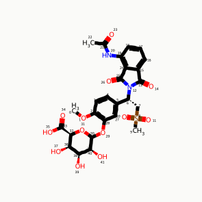 COc1ccc([C@@H](CS(C)(=O)=O)N2C(=O)c3cccc(NC(C)=O)c3C2=O)cc1OC1O[C@H](C(=O)O)[C@H](O)[C@H](O)[C@@H]1O